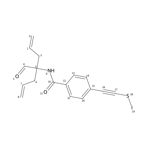 C=CCC(C=O)(CC=C)NC(=O)c1ccc(C#CSI)cc1